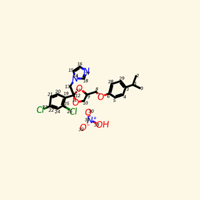 CC(C)c1ccc(OCC2COC(Cn3ccnc3)(c3ccc(Cl)cc3Cl)O2)cc1.O=[N+]([O-])O